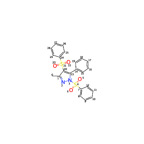 Cc1nn(S(=O)(=O)c2ccccc2)c(-c2ccccc2)c1S(=O)(=O)c1ccccc1